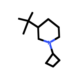 CC(C)(C)C1CCCN(C2CCC2)C1